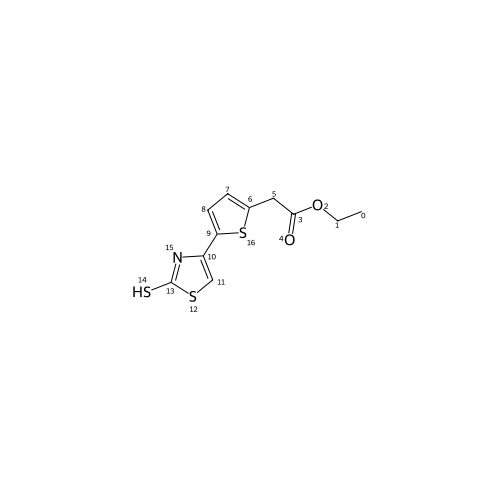 CCOC(=O)Cc1ccc(-c2csc(S)n2)s1